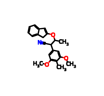 COc1cc(C(C#N)C(C)OC2=Cc3ccccc3C2)cc(OC)c1C